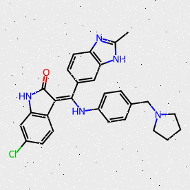 Cc1nc2ccc(C(Nc3ccc(CN4CCCC4)cc3)=C3C(=O)Nc4cc(Cl)ccc43)cc2[nH]1